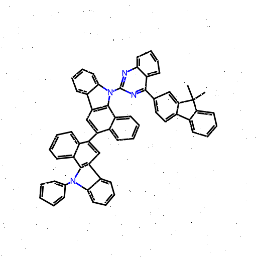 CC1(C)c2ccccc2-c2ccc(-c3nc(-n4c5ccccc5c5cc(-c6cc7c8ccccc8n(-c8ccccc8)c7c7ccccc67)c6ccccc6c54)nc4ccccc34)cc21